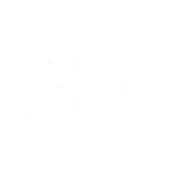 N#CCC1C=CN=C(NCCc2c[nH]c3ccccc23)N1c1nc2ccccc2s1